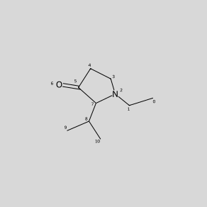 CCN1CCC(=O)C1C(C)C